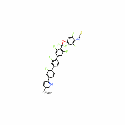 CCCCCc1ccc(-c2ccc(-c3ccc(-c4cc(F)c(C(F)(F)Oc5cc(F)c(N=C=S)c(F)c5)c(F)c4)c(F)c3)c(F)c2)nc1